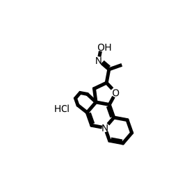 CC(=NO)C1CC23CCCCC2=CN2C=CCCC2=C3O1.Cl